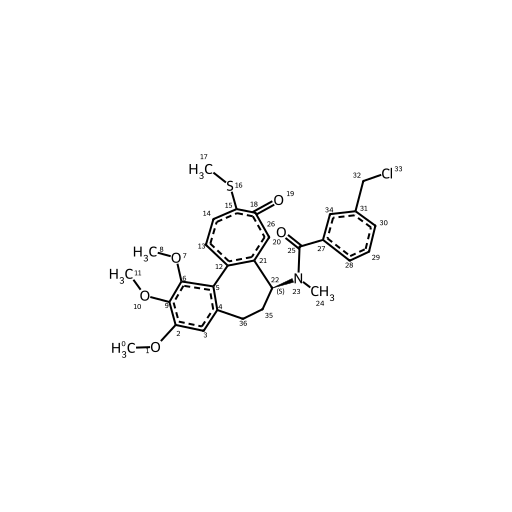 COc1cc2c(c(OC)c1OC)-c1ccc(SC)c(=O)cc1[C@@H](N(C)C(=O)c1cccc(CCl)c1)CC2